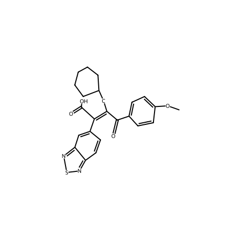 COc1ccc(C(=O)C(CC2CCCCC2)=C(C(=O)O)c2ccc3nsnc3c2)cc1